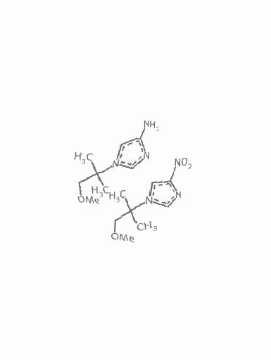 COCC(C)(C)n1cnc(N)c1.COCC(C)(C)n1cnc([N+](=O)[O-])c1